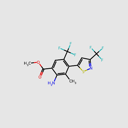 COC(=O)c1cc(C(F)(F)F)c(-c2cc(C(F)(F)F)ns2)c(C)c1N